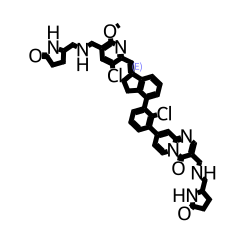 COc1nc(/C=C2\CCc3c2cccc3-c2cccc(-c3ccn4c(=O)c(CNCC5CCC(=O)N5)cnc4c3)c2Cl)c(Cl)cc1CNCC1CCC(=O)N1